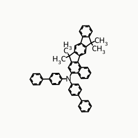 CC1(C)c2ccccc2-c2cc3c(cc21)-c1c(cc(N(c2ccc(-c4ccccc4)cc2)c2ccc(-c4ccccc4)cc2)c2ccccc12)C3(C)C